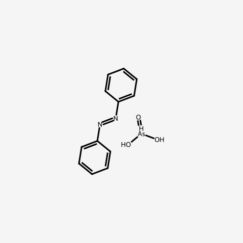 O=[AsH](O)O.c1ccc(/N=N/c2ccccc2)cc1